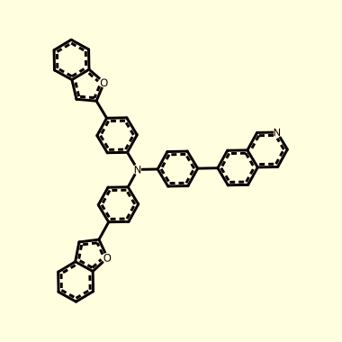 c1ccc2oc(-c3ccc(N(c4ccc(-c5ccc6ccncc6c5)cc4)c4ccc(-c5cc6ccccc6o5)cc4)cc3)cc2c1